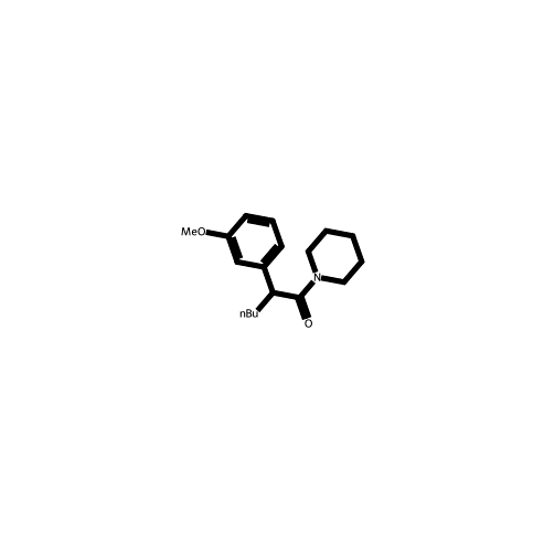 CCCCC(C(=O)N1CCCCC1)c1cccc(OC)c1